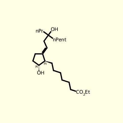 CCCCCC(O)(CC=C1CC[C@@H](O)[C@@H]1CCCCCCC(=O)OCC)CCC